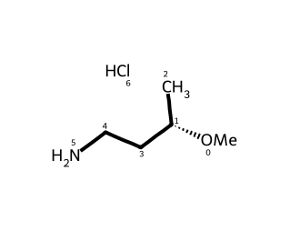 CO[C@@H](C)CCN.Cl